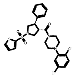 O=C([C@@H]1CN(S(=O)(=O)c2cccs2)C[C@H]1c1ccccc1)N1CCN(c2cc(Cl)ccc2Cl)CC1